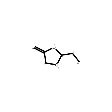 C=C1COC(CC)O1